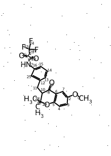 COc1ccc2c(c1)C(=O)C(Cc1cccc(NS(=O)(=O)C(F)(F)F)c1)C(C)(C)O2